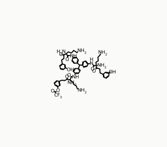 NCCCC[C@](N)(C(=O)CCc1cccc(O)c1)C(=O)Nc1ccc(C(c2ccc(NC(=O)[C@](N)(CCCCN)C(=O)CCc3cccc(O)c3)cc2)c2ccc(NC(=O)[C@](N)(CCCCN)C(=O)CCc3cccc(OC(=O)C(F)(F)F)c3)cc2)cc1